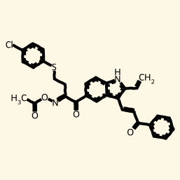 C=Cc1[nH]c2ccc(C(=O)/C(CCSc3ccc(Cl)cc3)=N/OC(C)=O)cc2c1/C=C/C(=O)c1ccccc1